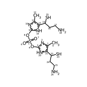 Cc1nc(OS(=O)(=O)Oc2nc(C)c(C(S)CCN)[nH]2)[nH]c1C(S)CCN